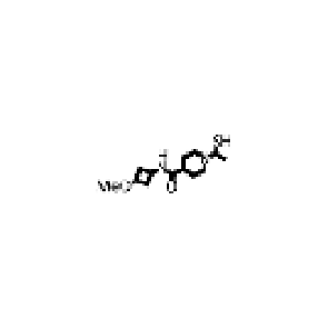 COC1CC(NC(=O)C2CCN(C(C)S)CC2)C1